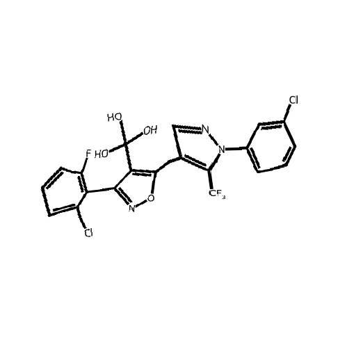 OC(O)(O)c1c(-c2c(F)cccc2Cl)noc1-c1cnn(-c2cccc(Cl)c2)c1C(F)(F)F